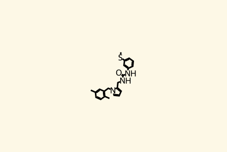 CSc1cccc(NC(=O)NCc2cccn2Cc2cc(C)ccc2C)c1